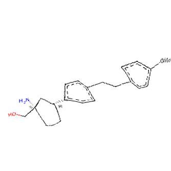 COc1ccc(CCc2ccc([C@@H]3CC[C@@](N)(CO)C3)cc2)cc1